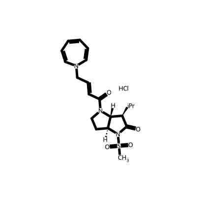 CC(C)[C@H]1C(=O)N(S(C)(=O)=O)[C@H]2CCN(C(=O)/C=C/CN3C=CC=CC=C3)[C@H]12.Cl